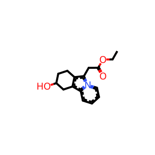 CCOC(=O)Cc1c2c(c3ccccn13)CC(O)CC2